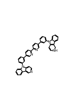 C1=Cc2c(c3ccccc3n2-c2cccc(-c3ccc(-c4ccc(-c5cccc(-n6c7ccccc7c7cnccc76)c5)cn4)nc3)c2)CN1